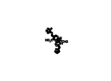 Cn1nnnc1SCC1=C(C(=O)O)N2C(=O)[C@@](NC=O)(NC(=O)Cc3cccs3)[C@H]2SC1